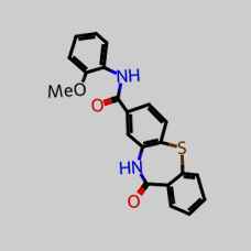 COc1ccccc1NC(=O)c1ccc2c(c1)NC(=O)c1ccccc1S2